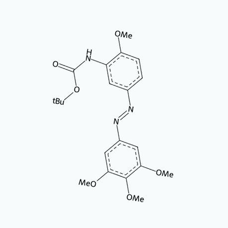 COc1ccc(N=Nc2cc(OC)c(OC)c(OC)c2)cc1NC(=O)OC(C)(C)C